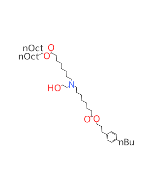 CCCCCCCCC(CCCCCCCC)OC(=O)CCCCCCCN(CCO)CCCCCCCC(=O)OCCCc1ccc(CCCC)cc1